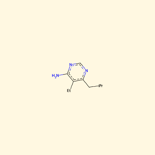 CCc1c(N)ncnc1CC(C)C